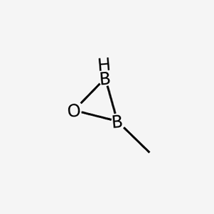 CB1BO1